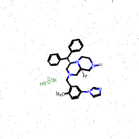 COc1ccc(-n2ccnc2)cc1CN1C[C@@H]2CN(C(C)=O)CCN2[C@H](C(c2ccccc2)c2ccccc2)C1.Cl.Cl.Cl